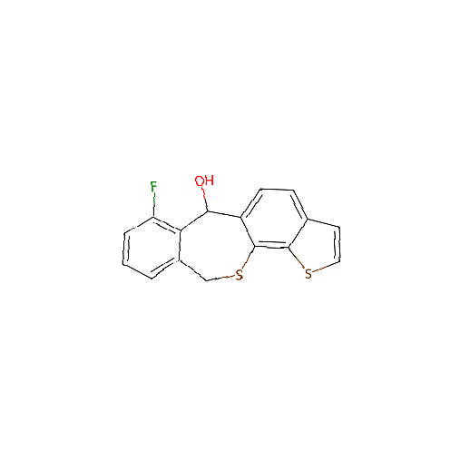 OC1c2ccc3ccsc3c2SCc2cccc(F)c21